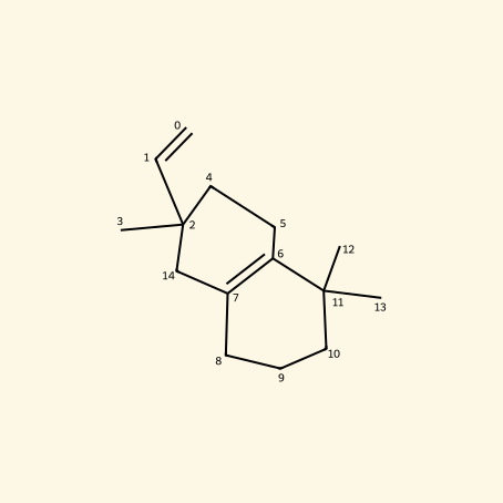 C=CC1(C)CCC2=C(CCCC2(C)C)C1